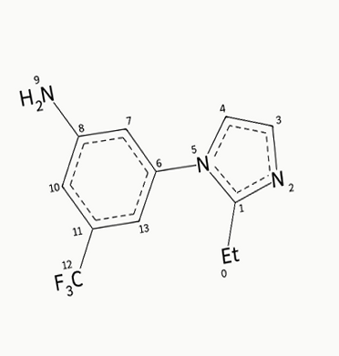 CCc1nccn1-c1cc(N)cc(C(F)(F)F)c1